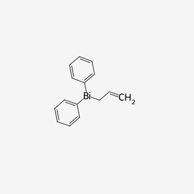 C=C[CH2][Bi]([c]1ccccc1)[c]1ccccc1